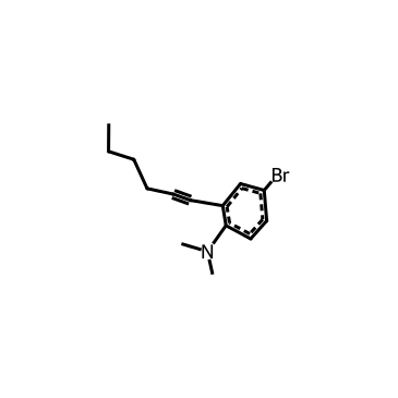 CCCCC#Cc1cc(Br)ccc1N(C)C